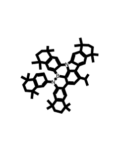 CC(C)c1cc2c3c4c1c1cc5c(cc1n4-c1cc4c(cc1B3N(c1ccc3c(c1)C(C)(C)CCC3(C)C)c1cc3c(cc1-2)C(C)(C)CCC3(C)C)C(C)(C)CCC4(C)C)C(C)(C)CCC5(C)C